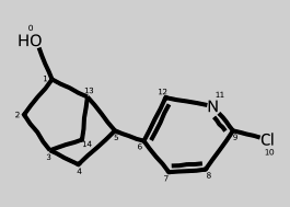 OC1CC2CC(c3ccc(Cl)nc3)C1C2